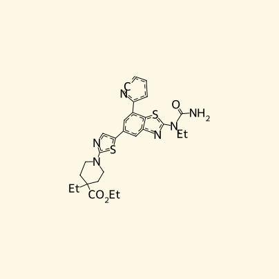 CCOC(=O)C1(CC)CCN(c2ncc(-c3cc(-c4ccccn4)c4sc(N(CC)C(N)=O)nc4c3)s2)CC1